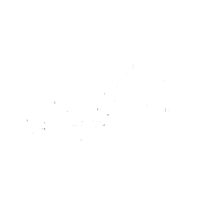 CC(CCC1(C)CC1)COC(=O)c1c(Cl)c(Cl)cc(Cl)c1OC(=O)C(=O)Oc1c(Cl)cc(Cl)c(Cl)c1C(=O)OCC(C)CCC1(C)CC1